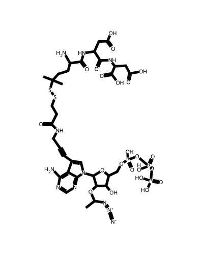 CC(N=[N+]=[N-])OC1C(O)C(COP(=O)(O)OP(=O)(O)OP(=O)(O)O)OC1n1cc(C#CCNC(=O)CCSSC(C)(C)CCC(N)C(=O)NC(CC(=O)O)C(=O)NC(CC(=O)O)C(=O)O)c2c(N)ncnc21